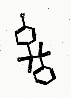 O=S(=O)(c1ccccc1)S(=O)(=O)c1ccc(Cl)cc1